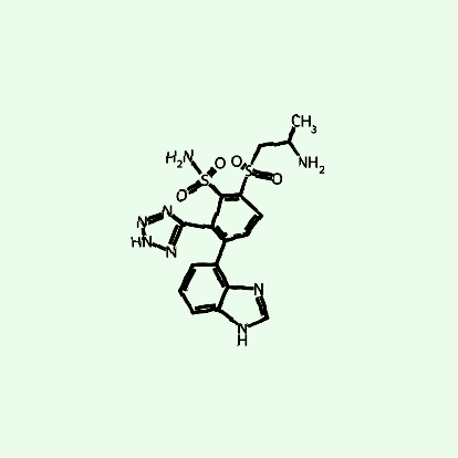 CC(N)CS(=O)(=O)c1ccc(-c2cccc3[nH]cnc23)c(-c2nn[nH]n2)c1S(N)(=O)=O